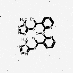 CCC(Sc1nnnn1C)c1cccnc1[S+]([O-])c1ncccc1C(CC)Sc1nnnn1C